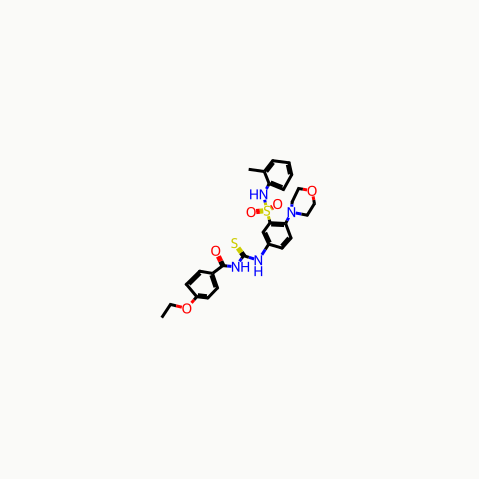 CCOc1ccc(C(=O)NC(=S)Nc2ccc(N3CCOCC3)c(S(=O)(=O)Nc3ccccc3C)c2)cc1